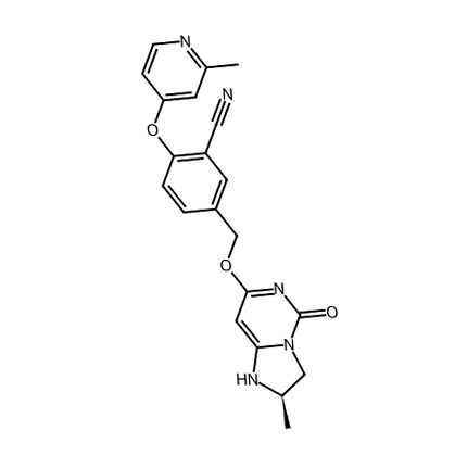 Cc1cc(Oc2ccc(COc3cc4n(c(=O)n3)C[C@@H](C)N4)cc2C#N)ccn1